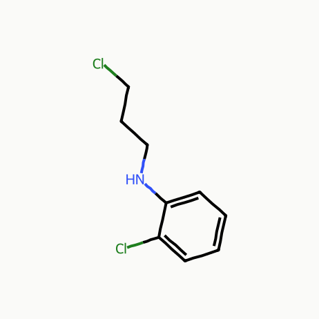 ClCCCNc1ccccc1Cl